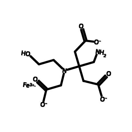 NCC(CC(=O)[O-])(CC(=O)[O-])N(CCO)CC(=O)[O-].[Fe+3]